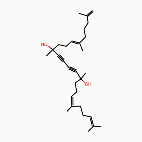 C=C(C)CCCC(C)=CCCC(C)(O)C#CC#CC(C)(O)CCC=C(C)CCC=C(C)C